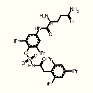 CC(C)c1cc(C(C)C)c(CC(=O)NS(=O)(=O)Oc2c(C(C)C)cc(NC(=O)[C@@H](N)CCC(N)=O)cc2C(C)C)c(C(C)C)c1